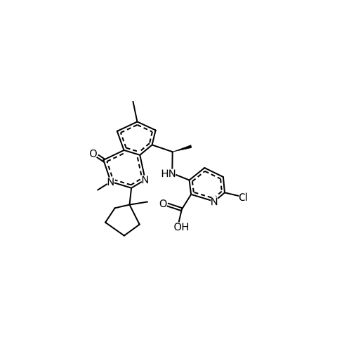 Cc1cc([C@@H](C)Nc2ccc(Cl)nc2C(=O)O)c2nc(C3(C)CCCC3)n(C)c(=O)c2c1